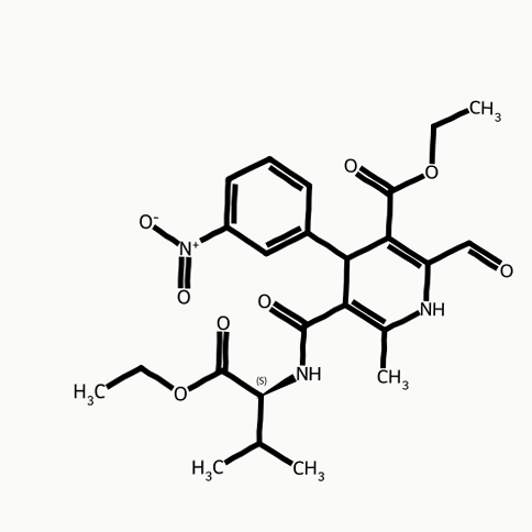 CCOC(=O)C1=C(C=O)NC(C)=C(C(=O)N[C@H](C(=O)OCC)C(C)C)C1c1cccc([N+](=O)[O-])c1